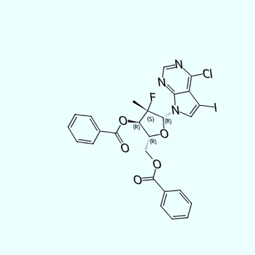 C[C@]1(F)[C@H](OC(=O)c2ccccc2)[C@@H](COC(=O)c2ccccc2)O[C@H]1n1cc(I)c2c(Cl)ncnc21